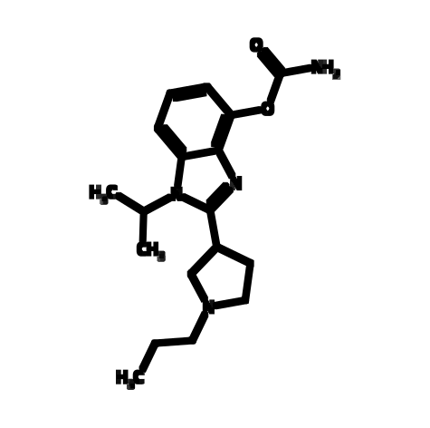 CCCN1CCC(c2nc3c(OC(N)=O)cccc3n2C(C)C)C1